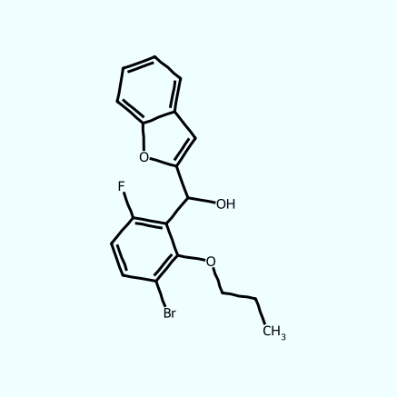 CCCOc1c(Br)ccc(F)c1C(O)c1cc2ccccc2o1